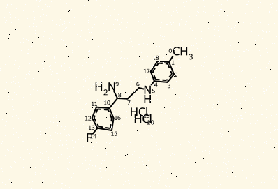 Cc1ccc(NCCC(N)c2ccc(F)cc2)cc1.Cl.Cl